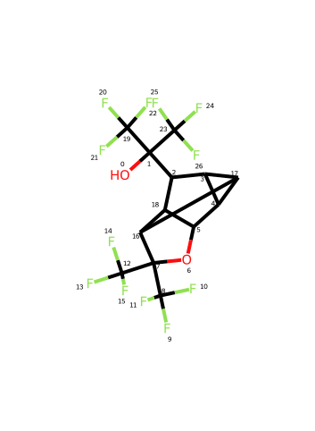 OC(C1C2C3C4OC(C(F)(F)F)(C(F)(F)F)C(C32)C41)(C(F)(F)F)C(F)(F)F